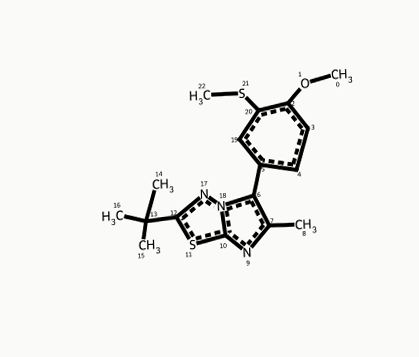 COc1ccc(-c2c(C)nc3sc(C(C)(C)C)nn23)cc1SC